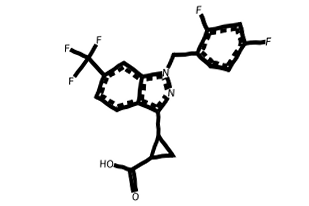 O=C(O)C1CC1c1nn(Cc2ccc(F)cc2F)c2cc(C(F)(F)F)ccc12